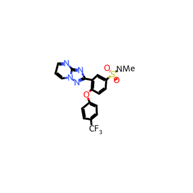 CNS(=O)(=O)c1ccc(Oc2ccc(C(F)(F)F)cc2)c(-c2nc3ncccn3n2)c1